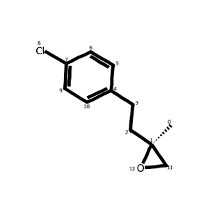 C[C@]1([CH]Cc2ccc(Cl)cc2)CO1